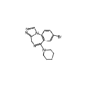 Brc1ccc2c(c1)C(N1CCCCC1)=NCc1nncn1-2